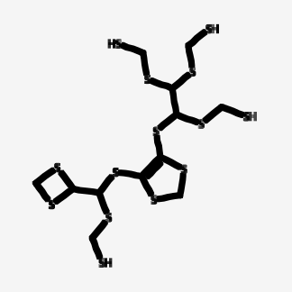 SCSC(SCS)C(SCS)SC1=C(SC(SCS)C2SCS2)SCS1